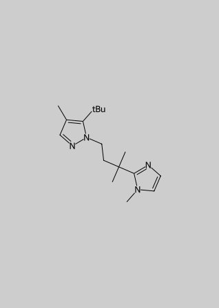 Cc1cnn(CCC(C)(C)c2nccn2C)c1C(C)(C)C